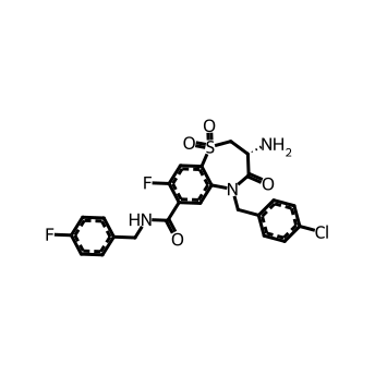 N[C@H]1CS(=O)(=O)c2cc(F)c(C(=O)NCc3ccc(F)cc3)cc2N(Cc2ccc(Cl)cc2)C1=O